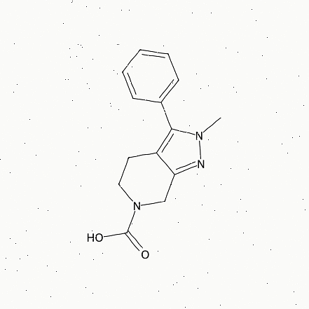 Cn1nc2c(c1-c1ccccc1)CCN(C(=O)O)C2